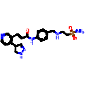 NS(=O)(=O)CCNCc1ccc(NC(=O)/C=C/c2cnccc2C2C=NNC2)cc1